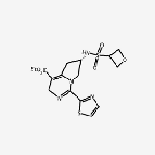 CCOC(=O)C1=C2C[C@H](NS(=O)(=O)C3COC3)CN2C(c2nccs2)=NC1